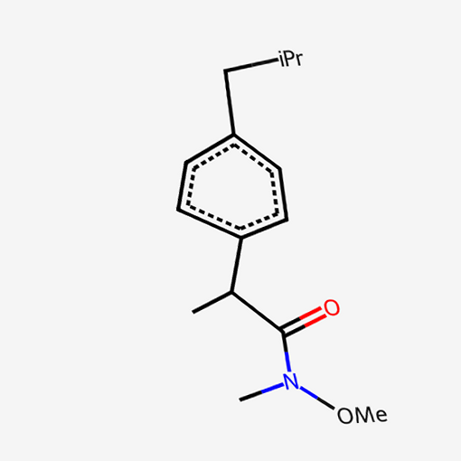 CON(C)C(=O)C(C)c1ccc(CC(C)C)cc1